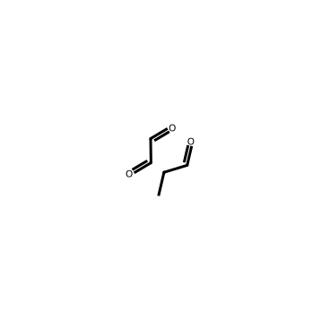 CCC=O.O=CC=O